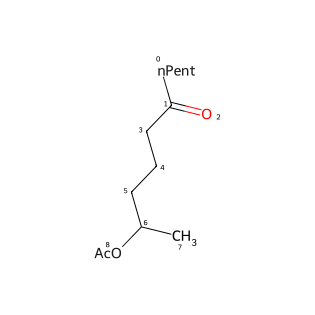 CCCCCC(=O)CCCC(C)OC(C)=O